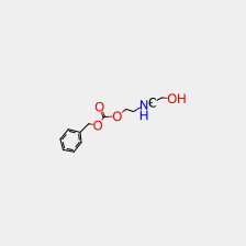 O=C(OCCNCCO)OCc1ccccc1